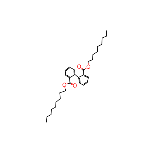 CCCCCCCCCOC(=O)c1ccccc1-c1ccccc1C(=O)OCCCCCCCCC